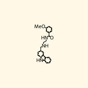 COc1cccc(C(=O)NCCNCc2ccc3[nH]c4ccccc4c3c2)c1